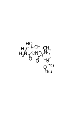 CN1CCN(C(=O)OC(C)(C)C)CC12CN([C@H](C(N)=O)C(C)(C)O)C2=O